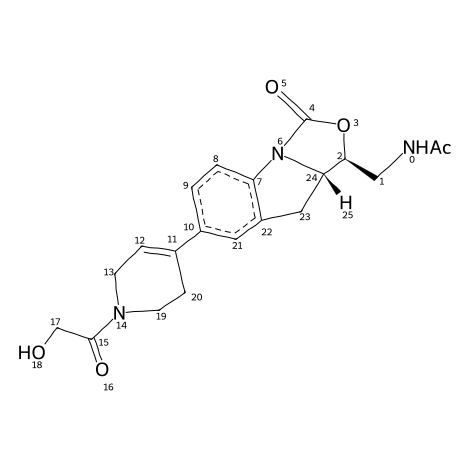 CC(=O)NC[C@@H]1OC(=O)N2c3ccc(C4=CCN(C(=O)CO)CC4)cc3C[C@@H]12